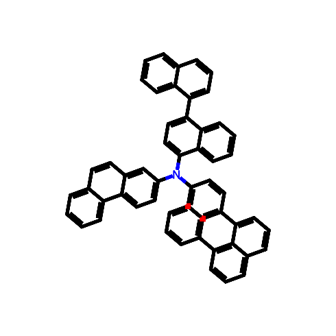 c1ccc(-c2cccc3cccc(-c4ccc(N(c5ccc6c(ccc7ccccc76)c5)c5ccc(-c6cccc7ccccc67)c6ccccc56)cc4)c23)cc1